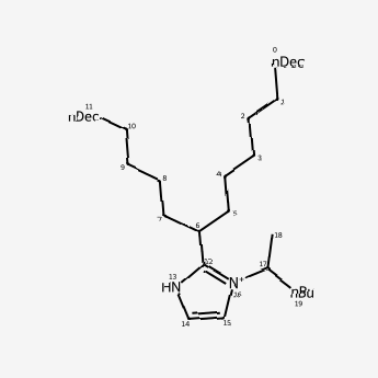 CCCCCCCCCCCCCCCC(CCCCCCCCCCCCCC)c1[nH]cc[n+]1C(C)CCCC